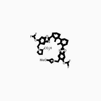 COC1CN(Cc2cc3nc(-c4cccc(-c5cccc(-c6nc7cc(CN8CCC[C@H]8C(=O)O)c(OC(F)F)cc7o6)c5C)c4C)oc3cc2OC(F)F)C1